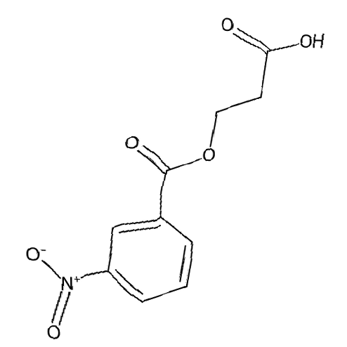 O=C(O)CCOC(=O)c1cccc([N+](=O)[O-])c1